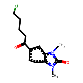 Cn1c(=O)n(C)c2cc(C(=O)CCCCCl)ccc21